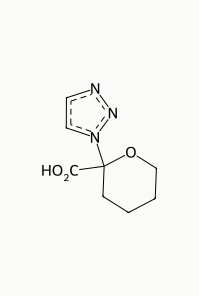 O=C(O)C1(n2ccnn2)CCCCO1